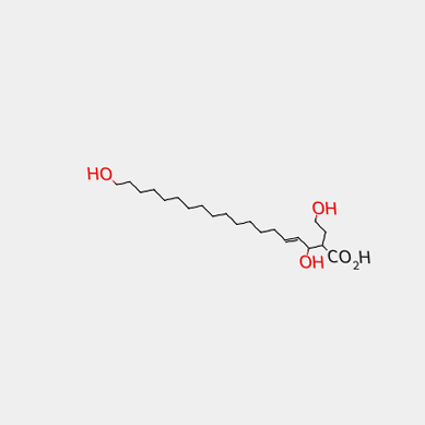 O=C(O)C(CCO)C(O)C=CCCCCCCCCCCCCCCO